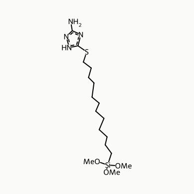 CO[Si](CCCCCCCCCCCCSc1nc(N)n[nH]1)(OC)OC